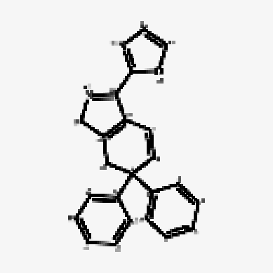 C1=CC(c2ccccc2)(c2ccccc2)CC2=C1C(c1ncco1)=NC2